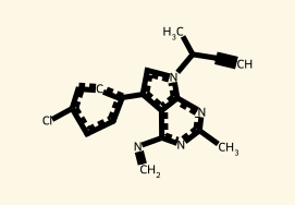 C#CC(C)n1cc(-c2ccc(Cl)cc2)c2c(N=C)nc(C)nc21